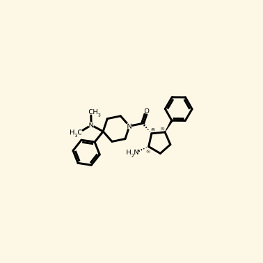 CN(C)C1(c2ccccc2)CCN(C(=O)[C@@H]2[C@@H](c3ccccc3)CC[C@@H]2N)CC1